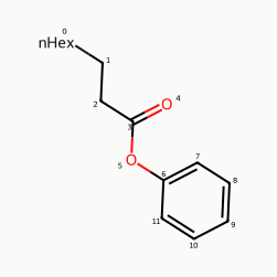 [CH2]CCCCCCCC(=O)Oc1ccccc1